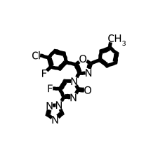 Cc1cccc(-c2nc(-n3cc(F)c(-n4cncn4)nc3=O)c(-c3ccc(Cl)c(F)c3)o2)c1